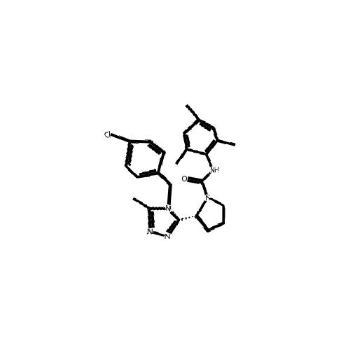 Cc1cc(C)c(NC(=O)N2CCC[C@@H]2c2nnc(C)n2Cc2ccc(Cl)cc2)c(C)c1